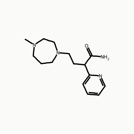 CN1CCCN(CCC(C(N)=O)c2ccccn2)CC1